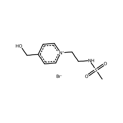 CS(=O)(=O)NCC[n+]1ccc(CO)cc1.[Br-]